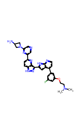 CN(C)CCOc1cc(F)cc(-c2ccnc3[nH]c(-c4n[nH]c5ccc(-c6cncc(N7CC(N)C7)n6)nc45)cc23)c1